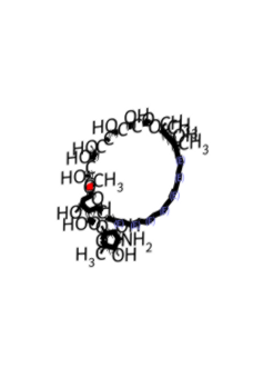 CO[C@]12C[C@@H](O)C[C@@H](O)[C@H](O)CC[C@@H](O)C[C@@H](O)CC(=O)O[C@@H](C)[C@H](C)[C@H](O)[C@@H](C)/C=C/C=C/C=C/C=C/C=C/C=C/C=C/[C@H](O[C@@H]3O[C@H](C)[C@@H](O)[C@H](N)[C@H]3O)C[C@H](O1)[C@H](C(=O)O)[C@@H](O)C2